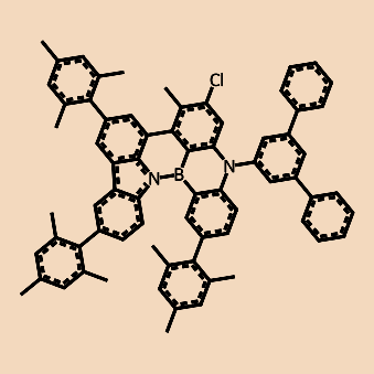 Cc1cc(C)c(-c2ccc3c(c2)B2c4c(cc(Cl)c(C)c4-c4cc(-c5c(C)cc(C)cc5C)cc5c6cc(-c7c(C)cc(C)cc7C)ccc6n2c45)N3c2cc(-c3ccccc3)cc(-c3ccccc3)c2)c(C)c1